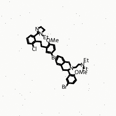 CCN(CC)CCN1Cc2ccccc2CC1c1cc(Br)ccc1OC.CCN1CCN=C1c1cccc(Cl)c1CCc1cc(Br)ccc1OC